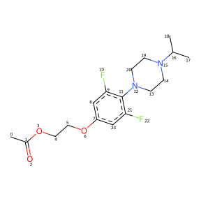 CC(=O)OCCOc1cc(F)c(N2CCN(C(C)C)CC2)c(F)c1